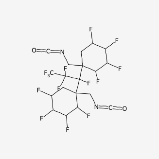 O=C=NCC1(C(F)(C2(CN=C=O)CC(F)C(F)C(F)C2F)C(F)(F)C(F)(F)F)CC(F)C(F)C(F)C1F